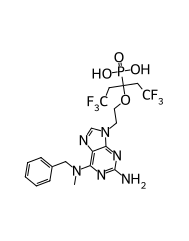 CN(Cc1ccccc1)c1nc(N)nc2c1ncn2CCOC(CC(F)(F)F)(CC(F)(F)F)P(=O)(O)O